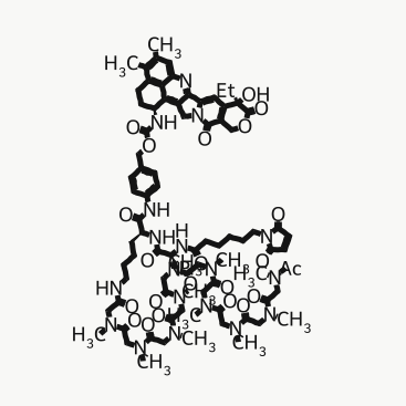 CC[C@@]1(O)C(=O)OCc2c1cc1n(c2=O)Cc2c-1nc1cc(C)c(C)c3c1c2[C@@H](NC(=O)OCc1ccc(NC(=O)[C@H](CCCCNC(=O)CN(C)C(=O)CN(C)C(=O)CN(C)C(=O)CN(C)C(=O)CN(C)C(=O)CN(C)C(=O)CN(C)C(=O)CN(C)C(=O)CN(C)C(=O)CN(C)C(C)=O)NC(=O)[C@@H](NC(=O)CCCCCN2C(=O)C=CC2=O)C(C)C)cc1)CC3